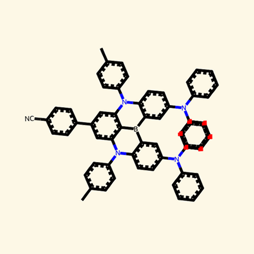 Cc1ccc(N2c3ccc(N(c4ccccc4)c4ccccc4)cc3B3c4cc(N(c5ccccc5)c5ccccc5)ccc4N(c4ccc(C)cc4)c4cc(-c5ccc(C#N)cc5)cc2c43)cc1